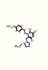 CC(C)COC[C@H]1CCCN1Cc1c(Cl)cc(Cl)c(=O)n1CCc1ccc(C(=O)O)cc1